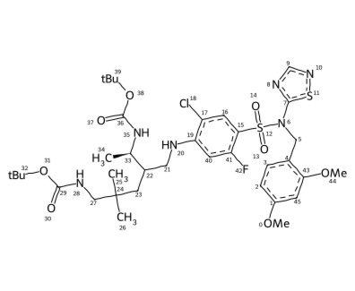 COc1ccc(CN(c2ncns2)S(=O)(=O)c2cc(Cl)c(NCC(CC(C)(C)CNC(=O)OC(C)(C)C)[C@@H](C)NC(=O)OC(C)(C)C)cc2F)c(OC)c1